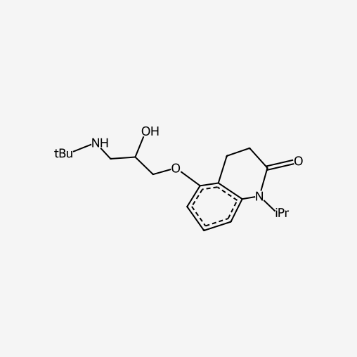 CC(C)N1C(=O)CCc2c(OCC(O)CNC(C)(C)C)cccc21